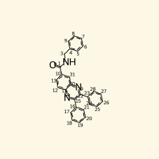 O=C(NCc1ccccc1)c1ccc2nc(-c3ccccc3)c(-c3ccccc3)nc2c1